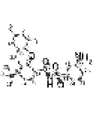 Cc1cc(C)c(Oc2cc(C(C)(C)C)ccc2C(=O)NS(=O)(=O)c2cccc(N)c2)c(C)c1